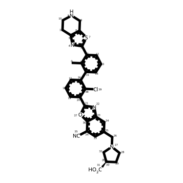 Cc1c(-c2nc3c(s2)CNCC3)cccc1-c1cccc(-c2nc3cc(CN4CC[C@@H](C(=O)O)C4)cc(C#N)c3o2)c1Cl